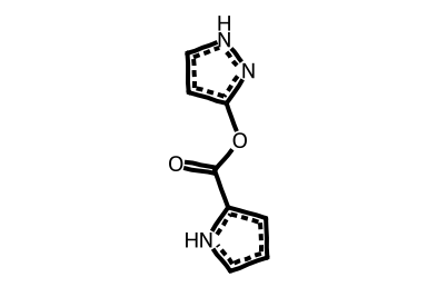 O=C(Oc1cc[nH]n1)c1ccc[nH]1